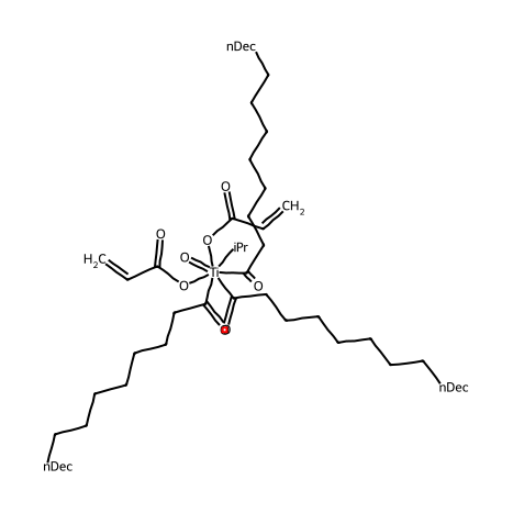 C=CC(=O)[O][Ti](=[O])([O]C(=O)C=C)([C](=O)CCCCCCCCCCCCCCCCC)([C](=O)CCCCCCCCCCCCCCCCC)([C](=O)CCCCCCCCCCCCCCCCC)[CH](C)C